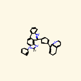 CCc1nc2c3c(-c4ccc(-c5cccc6cccnc56)cc4)nc4ccccc4c3ccc2n1-c1ccccc1